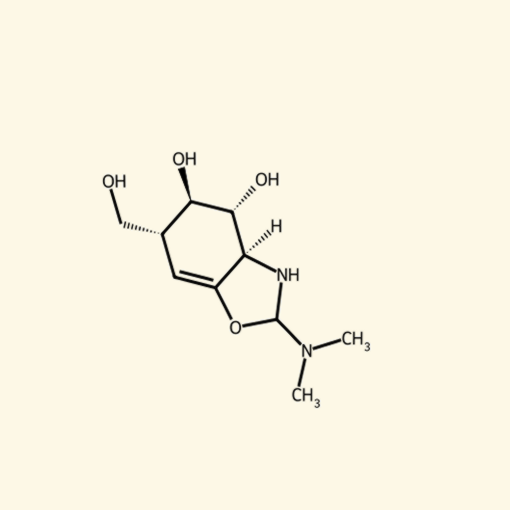 CN(C)C1N[C@H]2C(=C[C@H](CO)[C@@H](O)[C@@H]2O)O1